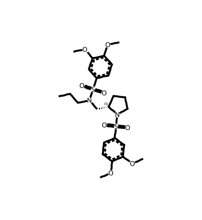 CCCN(C[C@@H]1CCCN1S(=O)(=O)c1ccc(OC)c(OC)c1)S(=O)(=O)c1ccc(OC)c(OC)c1